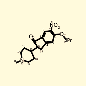 CC(C)Oc1cc2c(cc1[N+](=O)[O-])C(=O)C(C1CCN(C)CC1)C2